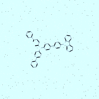 C=C(/C=C\C(=P)c1ccccc1)N(c1ccc(-c2ccccc2)cc1)c1ccc(-c2ccc(-n3c4ccccc4c4ccccc43)cc2)cc1